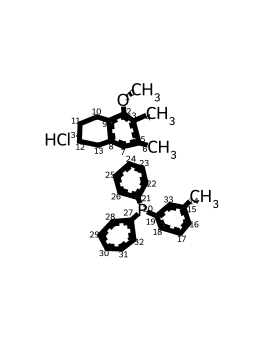 COc1c(C)c(C)cc2c1CCCC2.Cc1cccc(P(c2ccccc2)c2ccccc2)c1.Cl